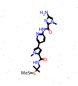 CSSC(C)(C)CNC(=O)c1cc(-c2ccc(NC(=O)c3nc(N)cn3C)nc2)cn1C